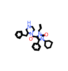 C=CCn1c(C(=O)N2CCNCC2Cc2ccccc2)c(-c2ccccc2)n(C2CCCCC2)c1=O